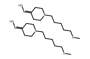 COCCCCCN1CCC(=NO)CC1.COCCCCCN1CCC(=NO)CC1